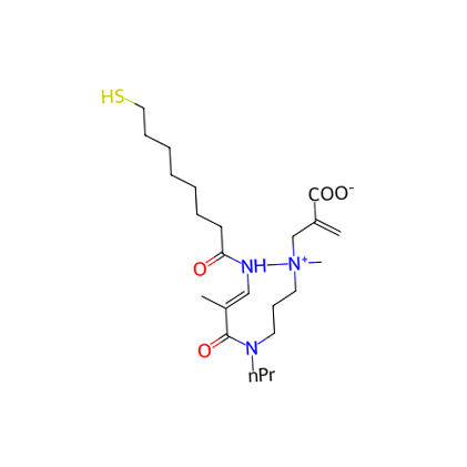 C=C(C[N+](C)(C)CCCN(CCC)C(=O)C(C)=CNC(=O)CCCCCCCS)C(=O)[O-]